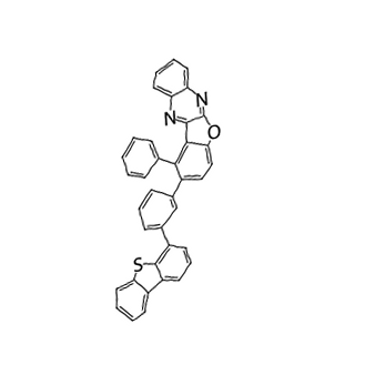 c1ccc(-c2c(-c3cccc(-c4cccc5c4sc4ccccc45)c3)ccc3oc4nc5ccccc5nc4c23)cc1